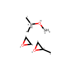 C1CO1.CC1CO1.C[SiH](C)O[SiH3]